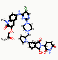 CNC(=O)COc1cc2cc(Nc3nc(N4CCN(CC5CCCN5c5ccc6c(c5)C(=O)N(C5CCC(=O)NC5=O)C6O)CC4)ncc3Cl)ccc2n(C(C)C)c1=O